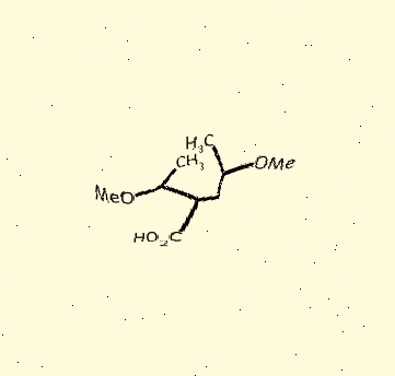 COC(C)CC(C(=O)O)C(C)OC